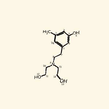 Cc1cc(O)cc(CCN(CCO)CCO)c1